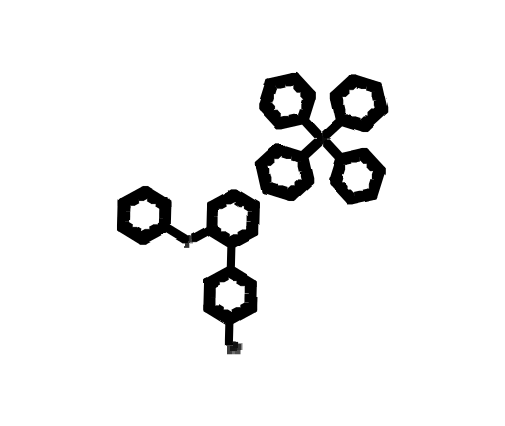 CC(C)c1ccc(-c2ccccc2[I+]c2ccccc2)cc1.c1ccc([B-](c2ccccc2)(c2ccccc2)c2ccccc2)cc1